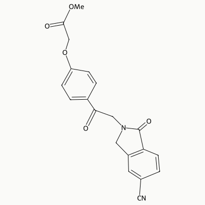 COC(=O)COc1ccc(C(=O)CN2Cc3cc(C#N)ccc3C2=O)cc1